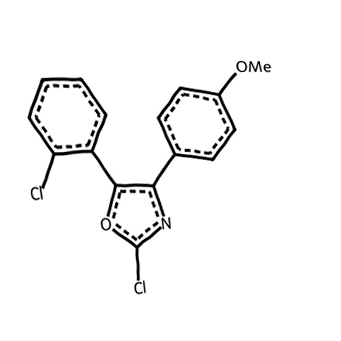 COc1ccc(-c2nc(Cl)oc2-c2ccccc2Cl)cc1